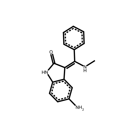 CNC(=C1C(=O)Nc2ccc(N)cc21)c1ccccc1